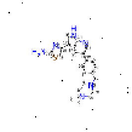 CCN1CCN(Cc2ccc(-c3cnc4[nH]cc(-c5csc(N)n5)c4c3)cc2)CC1